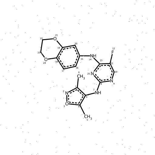 Cc1noc(C)c1Nc1ncc(F)c(Nc2ccc3c(c2)OCCO3)n1